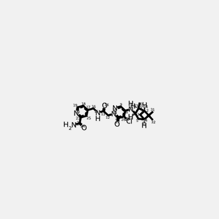 C[C@H]1[C@H]2C[C@H](C[C@H]1Nc1cnn(CC(=O)NCc3ccnc(C(N)=O)c3)c(=O)c1Cl)C2(C)C